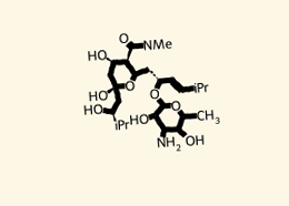 CNC(=O)[C@H]1C(C[C@H](/C=C/C(C)C)OC2OC(C)C(O)C(N)C2O)O[C@](O)(C[C@@H](O)C(C)C)C[C@@H]1O